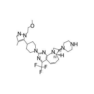 COCCn1ncc(C)c1C1CCN(c2nc3c(c(C(F)(F)F)n2)C=CC[C@H]2[C@H](N4CCNCC4)CN32)CC1